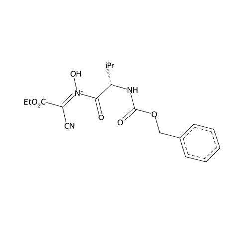 CCOC(=O)C(C#N)=[N+](O)C(=O)[C@@H](NC(=O)OCc1ccccc1)C(C)C